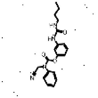 CCCCNC(=O)Nc1cccc(OC(=O)N(CC#N)c2ccccc2)c1